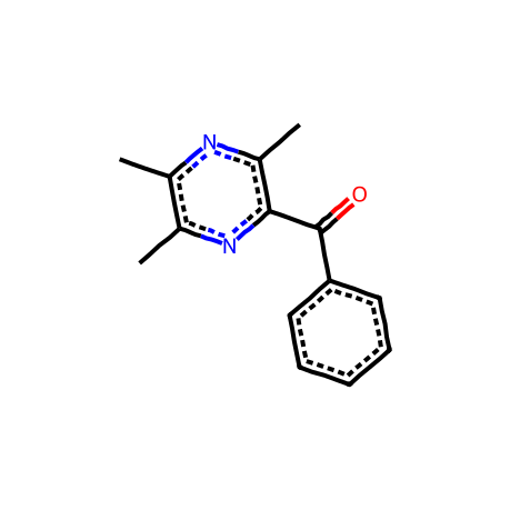 Cc1nc(C)c(C(=O)c2ccccc2)nc1C